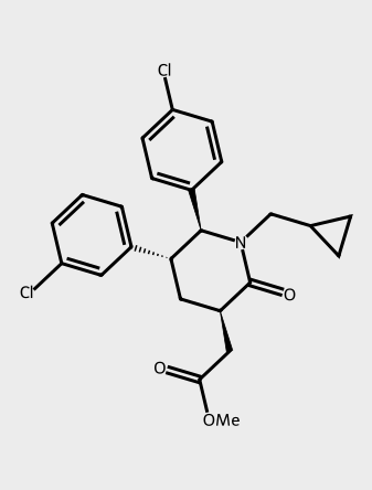 COC(=O)C[C@H]1C[C@H](c2cccc(Cl)c2)[C@@H](c2ccc(Cl)cc2)N(CC2CC2)C1=O